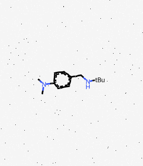 CN(C)c1ccc(CNC(C)(C)C)cc1